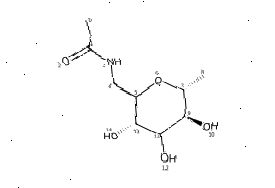 CC(=O)NCC1O[C@H](C)[C@@H](O)C(O)[C@@H]1O